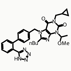 CCCCc1nc2c(c(=O)n(CC3CC3)c(=O)n2C(C)OC)n1Cc1ccc(-c2ccccc2-c2nnn[nH]2)cc1